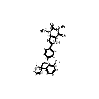 CCCn1c(=O)c2[nH]c(-c3ccc(OCC4(c5cccc(F)c5)N=CON4)cc3)nc2n(CCC)c1=O